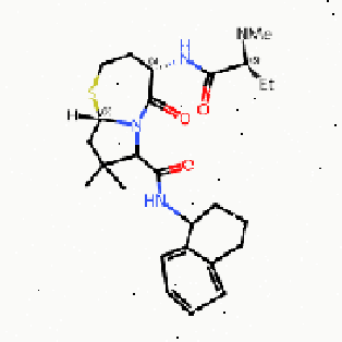 CC[C@H](NC)C(=O)N[C@H]1CCS[C@H]2CC(C)(C)C(C(=O)NC3CCCc4ccccc43)N2C1=O